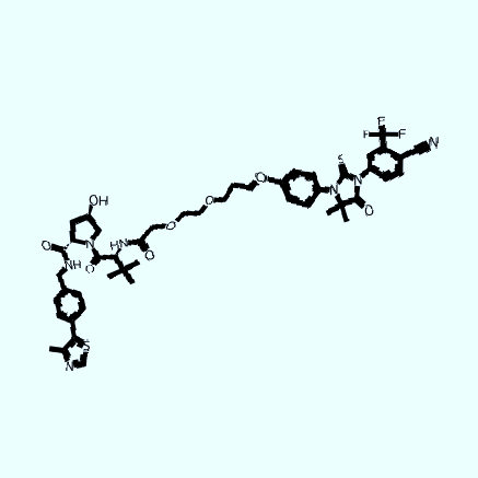 Cc1ncsc1-c1ccc(CNC(=O)[C@@H]2C[C@@H](O)CN2C(=O)[C@@H](NC(=O)COCCOCCCOc2ccc(N3C(=S)N(c4ccc(C#N)c(C(F)(F)F)c4)C(=O)C3(C)C)cc2)C(C)(C)C)cc1